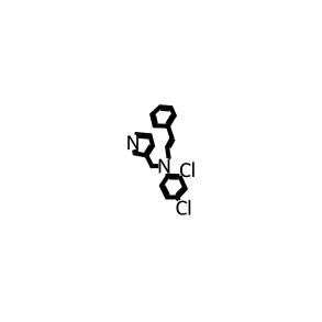 Clc1ccc(N(CC=Cc2ccccc2)Cc2cccnc2)c(Cl)c1